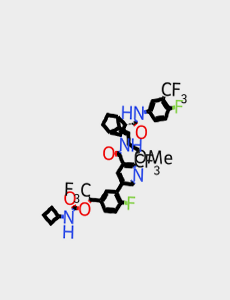 COc1ncc(-c2cc([C@H](OC(=O)NC3CCC3)C(F)(F)F)ccc2F)cc1C(=O)N[C@@H]1C2CCC(/C2=C/CCC(F)(F)F)[C@@H]1C(=O)Nc1ccc(F)c(C(F)(F)F)c1